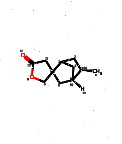 C[C@@H]1CC2C[C@H]1CC21COC(=O)C1